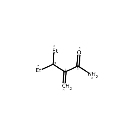 C=C(C(N)=O)C(CC)CC